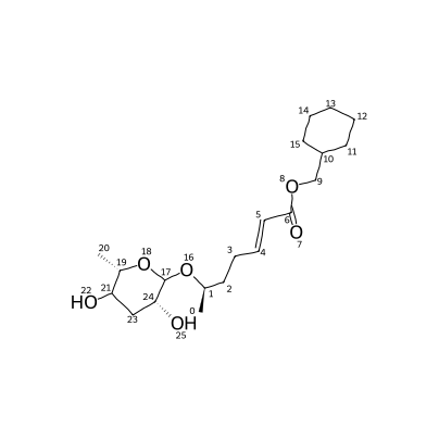 C[C@H](CC/C=C/C(=O)OCC1CCCCC1)OC1O[C@@H](C)C(O)C[C@H]1O